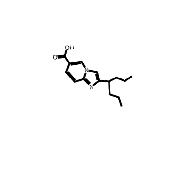 CCCC(CCC)c1cn2cc(C(=O)O)ccc2n1